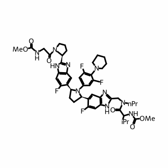 CCCN(Cc1nc2cc([C@H]3CC[C@@H](c4cc5nc([C@@H]6CCCN6C(=O)CNC(=O)OC)[nH]c5cc4F)N3c3cc(F)c(N4CCCCC4)c(F)c3)c(F)cc2[nH]1)C(=O)C(NC(=O)OC)C(C)C